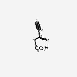 C#CC(=S)CC(=O)O